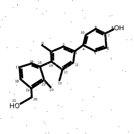 Cc1cc(-c2ccc(O)cc2)cc(C)c1-c1cccc(CO)c1C